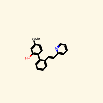 COc1ccc(-c2ccccc2C=Cc2ccccn2)c(O)c1